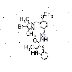 COc1ccc(/C=N/NC(=O)C2=C(C)Nc3ccccc3S2)cc1Cn1nc(C)c(Br)c1C